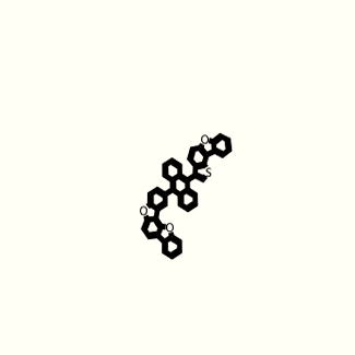 c1ccc2c(c1)oc1c2ccc2oc3ccc(-c4c5ccccc5c(-c5csc6c5ccc5oc7ccccc7c56)c5ccccc45)cc3c21